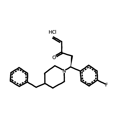 C=CC(=O)C[C@@H](c1ccc(F)cc1)N1CCC(Cc2ccccc2)CC1.Cl